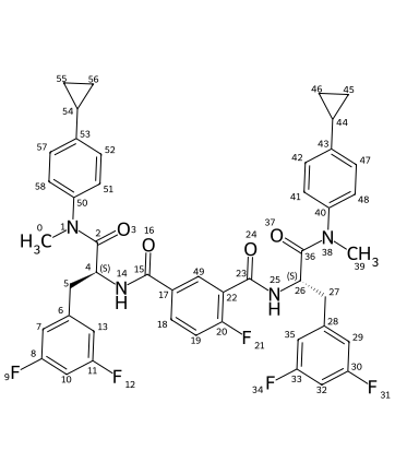 CN(C(=O)[C@H](Cc1cc(F)cc(F)c1)NC(=O)c1ccc(F)c(C(=O)N[C@@H](Cc2cc(F)cc(F)c2)C(=O)N(C)c2ccc(C3CC3)cc2)c1)c1ccc(C2CC2)cc1